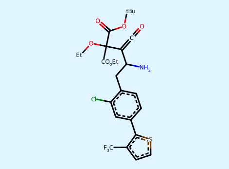 CCOC(=O)C(OCC)(C(=O)OC(C)(C)C)C(=C=O)C(N)Cc1ccc(-c2sccc2C(F)(F)F)cc1Cl